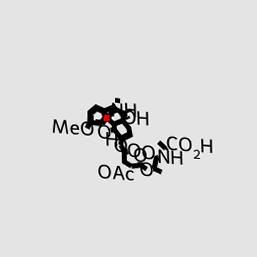 COc1ccc2c3c1O[C@H]1C(OC(=O)CC(OC(C)=O)C(=O)OC(C)C(=O)NC(C)C(=O)O)=CC[C@@]4(O)[C@@H](C2)N(C)CC[C@]314